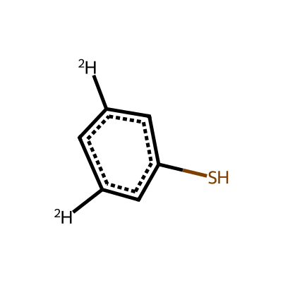 [2H]c1cc([2H])cc(S)c1